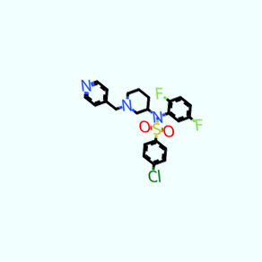 O=S(=O)(c1ccc(Cl)cc1)N(c1cc(F)ccc1F)C1CCCN(Cc2ccncc2)C1